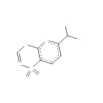 CC(C)c1ccc2c(n1)NC=NS2(=O)=O